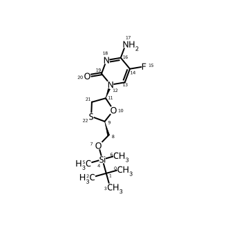 CC(C)(C)[Si](C)(C)OC[C@@H]1O[C@H](n2cc(F)c(N)nc2=O)CS1